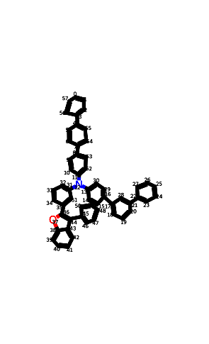 c1ccc(-c2ccc(-c3ccc(N(c4ccc(-c5cccc(-c6ccccc6)c5)cc4)c4cccc(-c5oc6ccccc6c5-c5ccccc5)c4)cc3)cc2)cc1